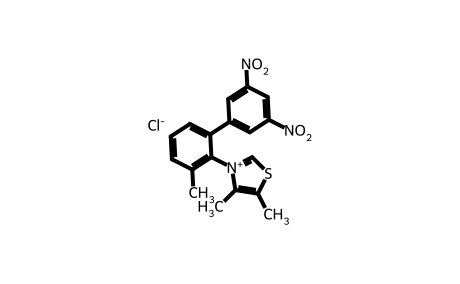 Cc1cccc(-c2cc([N+](=O)[O-])cc([N+](=O)[O-])c2)c1-[n+]1csc(C)c1C.[Cl-]